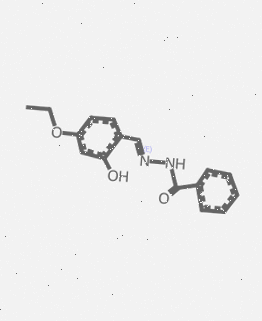 CCOc1ccc(/C=N/NC(=O)c2ccccc2)c(O)c1